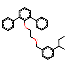 CCC(C)c1cccc(COCCOc2c(-c3ccccc3)cccc2-c2ccccc2)c1